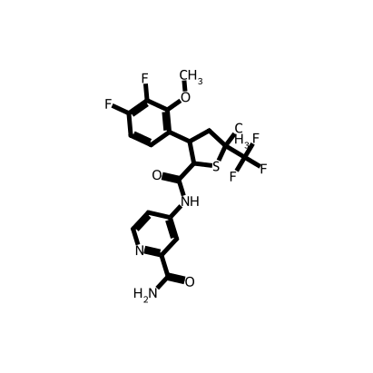 COc1c(C2CC(C)(C(F)(F)F)SC2C(=O)Nc2ccnc(C(N)=O)c2)ccc(F)c1F